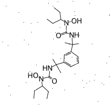 CCC(CC)N(O)C(=O)NC(C)(C)c1cccc(C(C)(C)NC(=O)N(O)C(CC)CC)c1